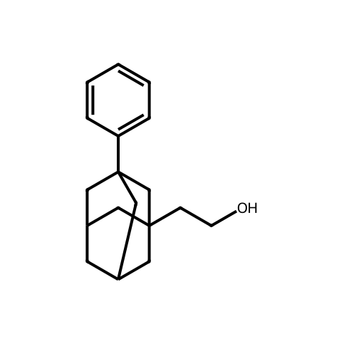 OCCC12CC3CC(C1)CC(c1ccccc1)(C3)C2